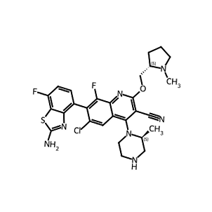 C[C@H]1CNCCN1c1c(C#N)c(OC[C@@H]2CCCN2C)nc2c(F)c(-c3ccc(F)c4sc(N)nc34)c(Cl)cc12